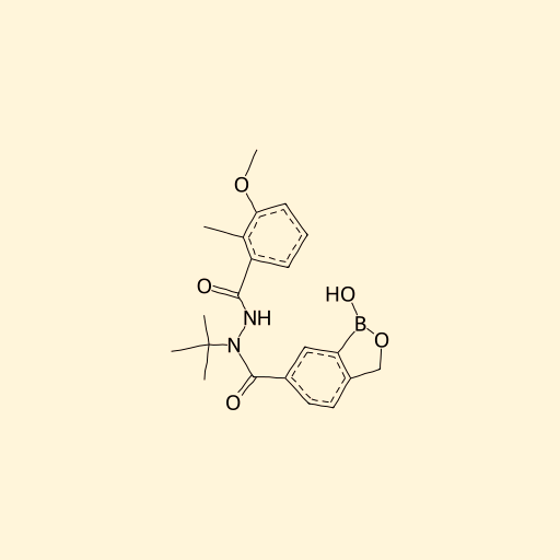 COc1cccc(C(=O)NN(C(=O)c2ccc3c(c2)B(O)OC3)C(C)(C)C)c1C